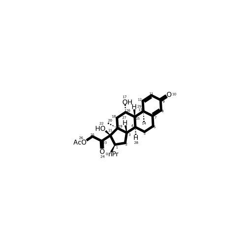 CCC[C@@H]1C[C@H]2[C@@H]3CCC4=CC(=O)C=C[C@]4(C)[C@H]3[C@@H](O)C[C@]2(C)[C@@]1(O)C(=O)COC(C)=O